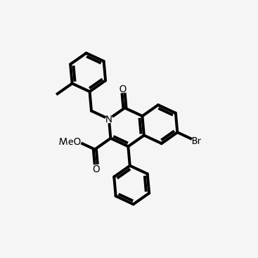 COC(=O)c1c(-c2ccccc2)c2cc(Br)ccc2c(=O)n1Cc1ccccc1C